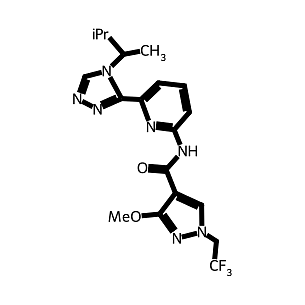 COc1nn(CC(F)(F)F)cc1C(=O)Nc1cccc(-c2nncn2C(C)C(C)C)n1